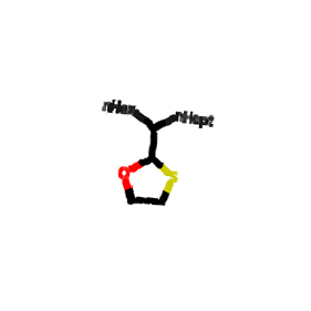 CCCCCCCC(CCCCCC)C1OCCS1